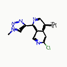 CC(C)c1cnc(-c2cn(C)nn2)c2cnc(Cl)cc12